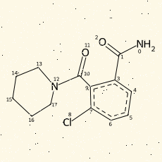 NC(=O)c1cccc(Cl)c1C(=O)N1CCCCC1